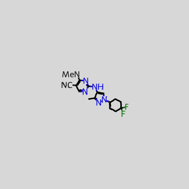 CNc1nc(Nc2cn(C3CCC(F)(F)CC3)nc2C)ncc1C#N